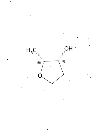 C[C@H]1OCC[C@H]1O